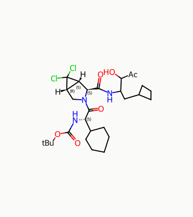 CC(=O)C(O)C(CC1CCC1)NC(=O)[C@@H]1[C@@H]2[C@H](CN1C(=O)[C@@H](NC(=O)OC(C)(C)C)C1CCCCC1)C2(Cl)Cl